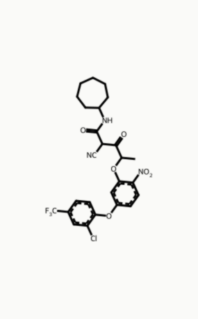 CC(Oc1cc(Oc2ccc(C(F)(F)F)cc2Cl)ccc1[N+](=O)[O-])C(=O)C(C#N)C(=O)NC1CCCCCC1